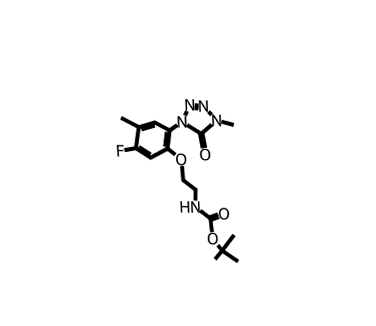 Cc1cc(-n2nnn(C)c2=O)c(OCCNC(=O)OC(C)(C)C)cc1F